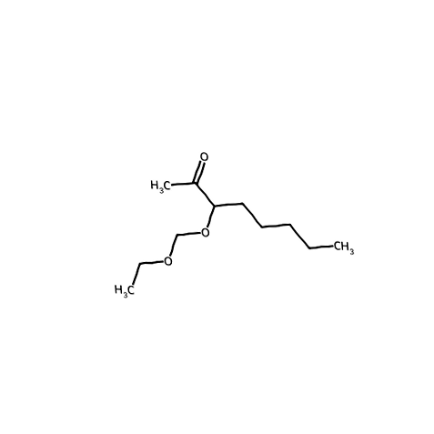 CCCCCC(OCOCC)C(C)=O